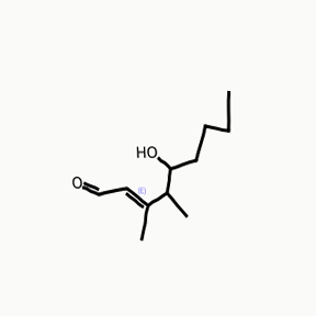 CCCCC(O)C(C)/C(C)=C/C=O